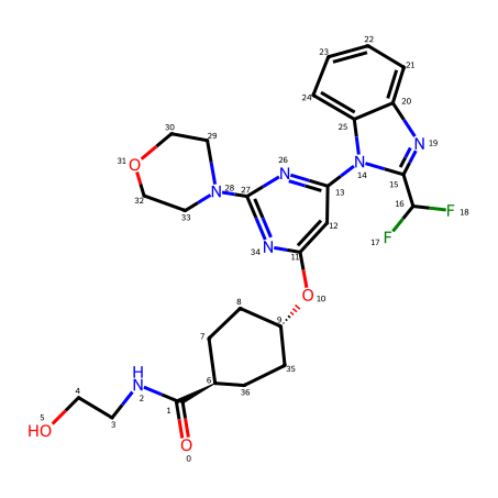 O=C(NCCO)[C@H]1CC[C@H](Oc2cc(-n3c(C(F)F)nc4ccccc43)nc(N3CCOCC3)n2)CC1